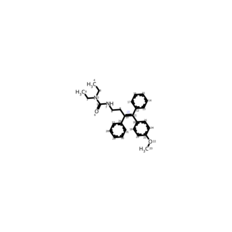 CCN(CC)C(=O)NCC/C(=C(\c1ccccc1)c1ccc(OC)cc1)c1ccccc1